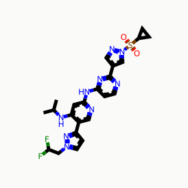 CC(C)Nc1cc(Nc2ccnc(-c3cnn(S(=O)(=O)C4CC4)c3)n2)ncc1-c1ccn(CC(F)F)n1